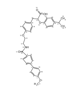 COc1ccc(-c2ccc(C(=O)NCCOc3ccc(CC(Oc4ccc(C(C)C)cc4)C(=O)O)cc3)cc2)cc1